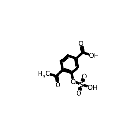 CC(=O)c1ccc(C(=O)O)cc1OS(=O)(=O)O